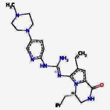 C=Cc1cc2n(c1/N=C(\N)Nc1ccc(N3CCN(C)CC3)cn1)[C@@H](CC(C)C)CNC2=O